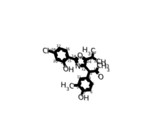 CC(=O)C(c1ccc(O)c(C)c1)c1nc(-c2ccc(Cl)cc2O)oc1C(C)C